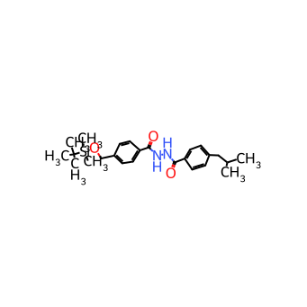 CC(C)Cc1ccc(C(=O)NNC(=O)c2ccc(CO[Si](C)(C)C(C)(C)C)cc2)cc1